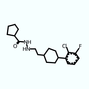 O=C(NNCCC1CCC(c2cccc(F)c2Cl)CC1)C1CCCC1